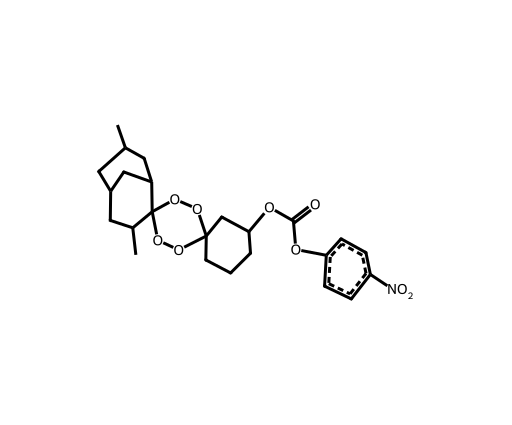 CC1CC2CC(C)C3(OOC4(CCCC(OC(=O)Oc5ccc([N+](=O)[O-])cc5)C4)OO3)C(C1)C2